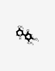 Cc1cc(C2CC(C)CCN2)c(Cl)cc1[N+](=O)[O-]